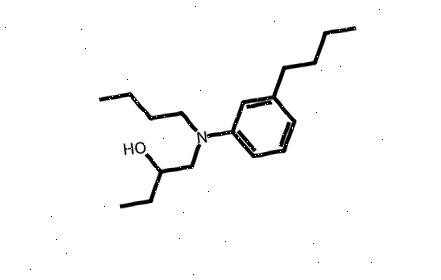 CCCCc1cccc(N(CCCC)CC(O)CC)c1